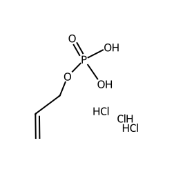 C=CCOP(=O)(O)O.Cl.Cl.Cl